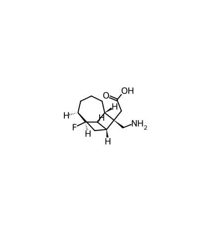 NC[C@@]1(CC(=O)O)[C@@H]2C[C@@H]3CCC[C@H]1[C@H]2[C@H]3F